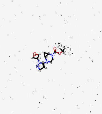 CC(C)(C)OC(=O)N1CCN(c2ccnn2C2COC2)C2CC21